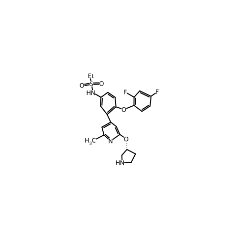 CCS(=O)(=O)Nc1ccc(Oc2ccc(F)cc2F)c(-c2cc(C)nc(O[C@@H]3CCNC3)c2)c1